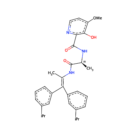 COc1ccnc(C(=O)N[C@@H](C)C(=O)NC(C)=C(c2cccc(C(C)C)c2)c2cccc(C(C)C)c2)c1O